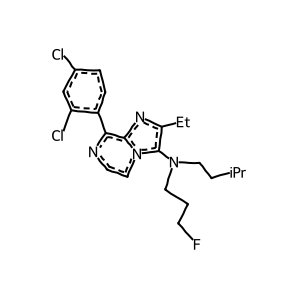 CCc1nc2c(-c3ccc(Cl)cc3Cl)nccn2c1N(CCCF)CCC(C)C